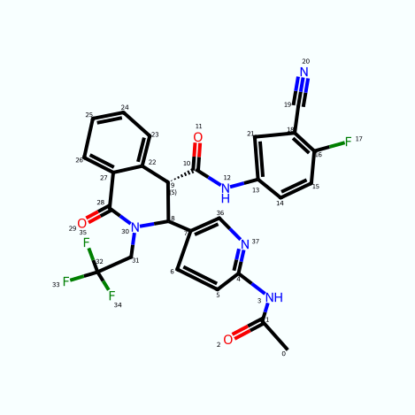 CC(=O)Nc1ccc(C2[C@@H](C(=O)Nc3ccc(F)c(C#N)c3)c3ccccc3C(=O)N2CC(F)(F)F)cn1